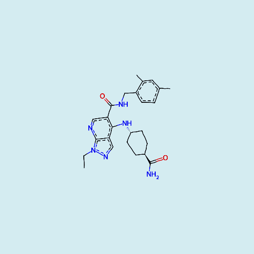 CCn1ncc2c(N[C@H]3CC[C@H](C(N)=O)CC3)c(C(=O)NCc3ccc(C)cc3C)cnc21